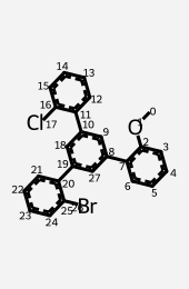 COc1ccccc1-c1cc(-c2ccccc2Cl)cc(-c2ccccc2Br)c1